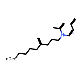 C=C/C=C\N(CCCC(=C)CCCCCCCCCCCCCC)C(=C)C